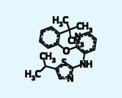 CC(C)c1cnc(Nc2cccnc2Oc2ccccc2C(C)(C)C)s1